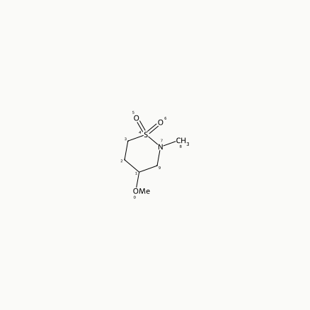 COC1CCS(=O)(=O)N(C)C1